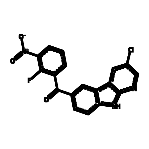 O=C(c1ccc2[nH]c3ncc(Cl)cc3c2c1)c1cccc([N+](=O)[O-])c1F